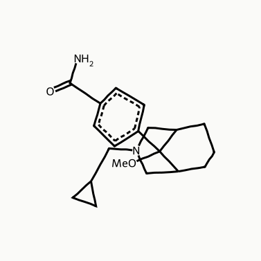 COC1(c2ccc(C(N)=O)cc2)C2CCCC1CN(CC1CC1)C2